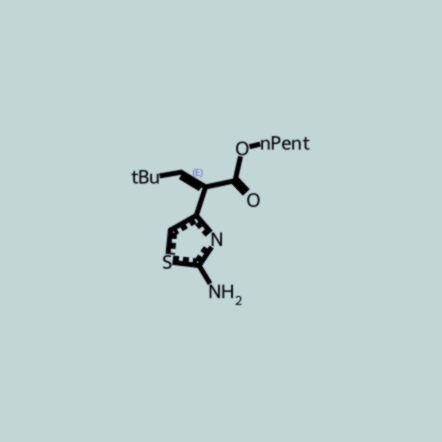 CCCCCOC(=O)/C(=C/C(C)(C)C)c1csc(N)n1